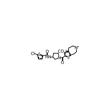 CN1CCc2cc(C(=O)N3CC(NC(=O)c4ccc(Cl)s4)C[C@H]3C(=O)O)sc2CC1